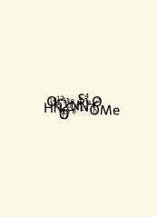 COC(=O)c1csc(N2CCC3(CCC(=O)NC3=O)C2)n1